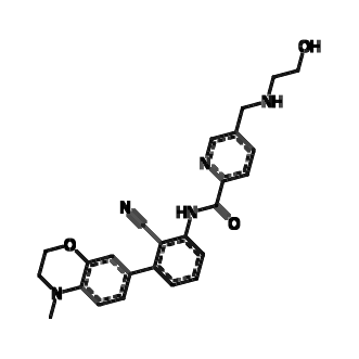 CN1CCOc2cc(-c3cccc(NC(=O)c4ccc(CNCCO)cn4)c3C#N)ccc21